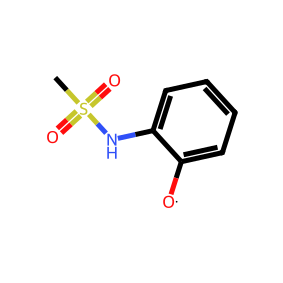 CS(=O)(=O)Nc1ccccc1[O]